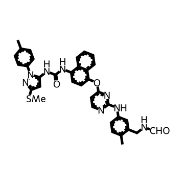 CSc1cc(NC(=O)Nc2ccc(Oc3ccnc(Nc4ccc(C)c(CNC=O)c4)n3)c3ccccc23)n(-c2ccc(C)cc2)n1